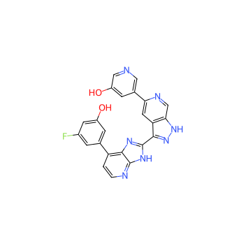 Oc1cncc(-c2cc3c(-c4nc5c(-c6cc(O)cc(F)c6)ccnc5[nH]4)n[nH]c3cn2)c1